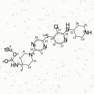 CC1(NC(=O)OC(C)(C)C)CCN(c2cnc(Sc3ccnc(NC4CCNCC4)c3Cl)cn2)CC1